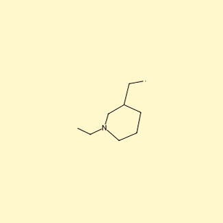 [CH2]CC1CCCN(CC)C1